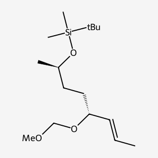 C/C=C/[C@@H](CC[C@@H](C)O[Si](C)(C)C(C)(C)C)OCOC